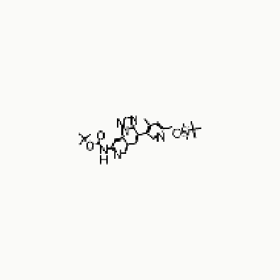 Cc1cc(CO[Si](C)(C)C(C)(C)C)ncc1-c1cc2cnc(NC(=O)OC(C)(C)C)cc2n2ncnc12